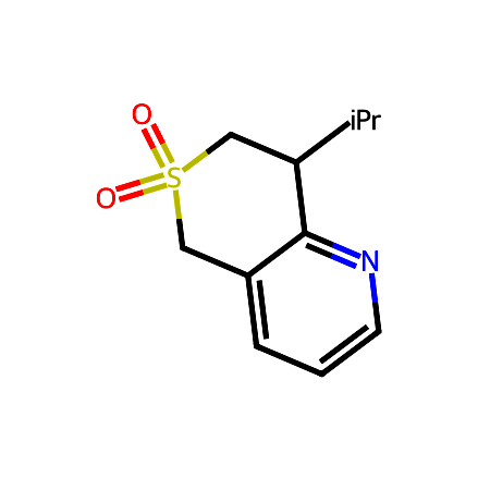 CC(C)C1CS(=O)(=O)Cc2cccnc21